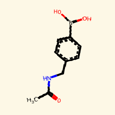 CC(=O)NCc1ccc(B(O)O)cc1